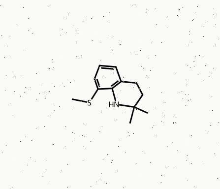 CSc1cccc2c1NC(C)(C)CC2